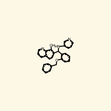 Oc1c(C(Nc2cccnc2)c2ccccc2OCc2ccccc2)ccc2cccnc12